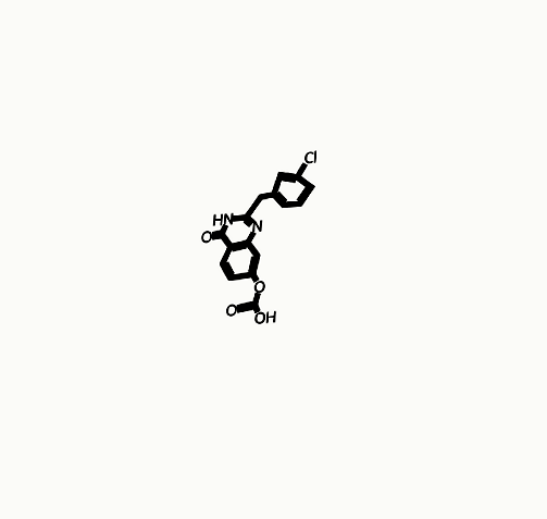 O=C(O)Oc1ccc2c(=O)[nH]c(Cc3cccc(Cl)c3)nc2c1